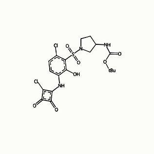 CC(C)(C)OC(=O)NC1CCN(S(=O)(=O)c2c(Cl)ccc(Nc3c(Cl)c(=O)c3=O)c2O)C1